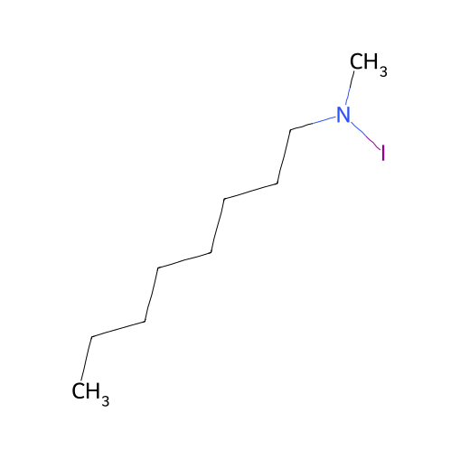 CCCCCCCCN(C)I